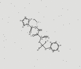 CC[C@H](NC(=O)[C@@H](N)CC(F)(F)Cc1ccccc1)C(=O)c1ncco1